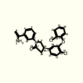 C=C(N)c1cccc(N2C[C@@H](c3ccc(Cl)c(Oc4ccccc4Cl)c3)CC2=O)c1